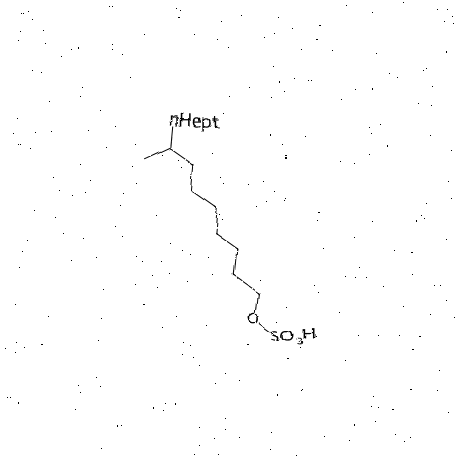 CCCCCCCC(C)CCCCCCCOS(=O)(=O)O